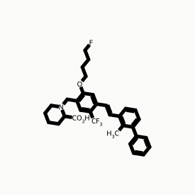 Cc1c(C=Cc2cc(OCCCCF)c(CN3CCCCC3C(=O)O)cc2C(F)(F)F)cccc1-c1ccccc1